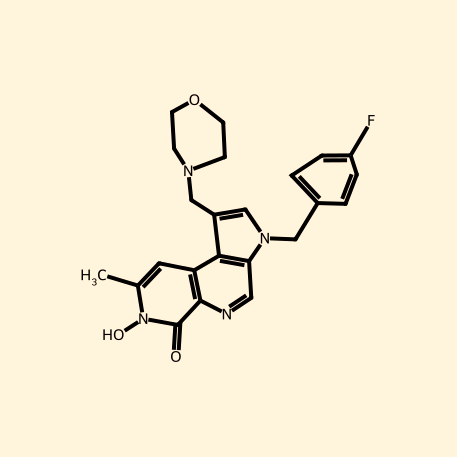 Cc1cc2c(ncc3c2c(CN2CCOCC2)cn3Cc2ccc(F)cc2)c(=O)n1O